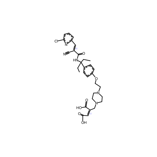 CCC(CC)(NC(=O)/C(C#N)=C/c1cccc(Cl)n1)c1ccc(OCCN2CCN(C/C(=C/C(=O)O)C(=O)O)CC2)cc1